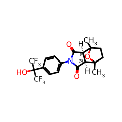 CC12CCC(C)(O1)[C@H]1C(=O)N(c3ccc(C(O)(C(F)(F)F)C(F)(F)F)cc3)C(=O)[C@H]12